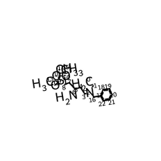 C=CN(CCC(N)CC[Si](OC)(OC)OC)Cc1ccccc1